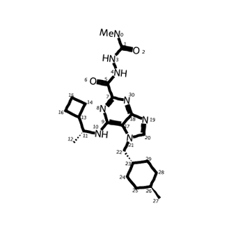 CNC(=O)NNC(=O)c1nc(N[C@H](C)C2CCC2)c2c(ncn2C[C@H]2CC[C@H](C)CC2)n1